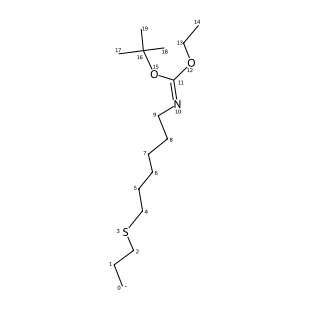 [CH2]CCSCCCCCCN=C(OCC)OC(C)(C)C